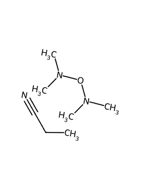 CCC#N.CN(C)ON(C)C